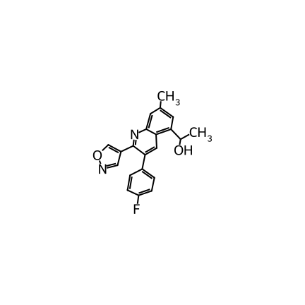 Cc1cc(C(C)O)c2cc(-c3ccc(F)cc3)c(-c3cnoc3)nc2c1